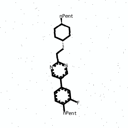 CCCCCc1ccc(-c2cnc(CC[C@H]3CC[C@H](CCCCC)CC3)nc2)cc1F